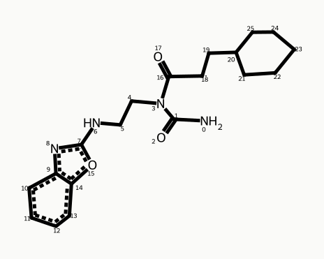 NC(=O)N(CCNc1nc2ccccc2o1)C(=O)[CH]CC1CCCCC1